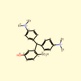 CCN(CC)c1ccc(C(c2ccc(N(CC)CC)cc2)c2cc(O)ccc2S(=O)(=O)O)cc1